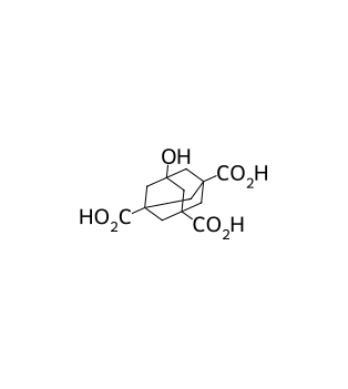 O=C(O)C12CC3(O)CC(C(=O)O)(C1)CC(C(=O)O)(C3)C2